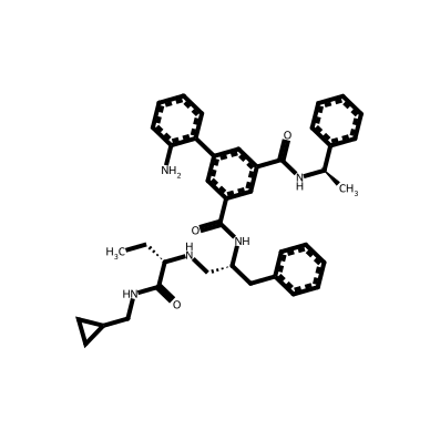 CC[C@H](NC[C@@H](Cc1ccccc1)NC(=O)c1cc(C(=O)N[C@H](C)c2ccccc2)cc(-c2ccccc2N)c1)C(=O)NCC1CC1